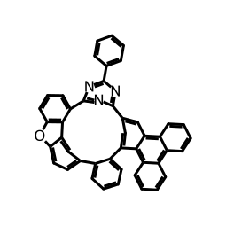 c1ccc(-c2nc3nc(n2)c2cccc4oc5ccc(cc5c42)c2ccccc2c2cc3cc3c4ccccc4c4ccccc4c23)cc1